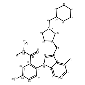 Cc1cncc2c1c(C[C@H]1CCN(CC3CCCCC3)C1)cn2-c1ccc(F)cc1C(=O)N(C)C(C)C